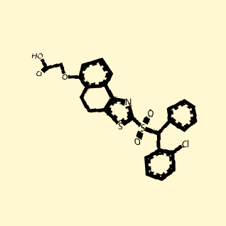 O=C(O)COc1cccc2c1CCc1sc(S(=O)(=O)C(c3ccccc3)c3ccccc3Cl)nc1-2